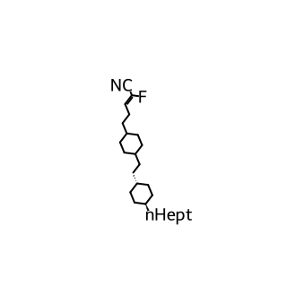 CCCCCCC[C@H]1CC[C@H](CCC2CCC(CCC=C(F)C#N)CC2)CC1